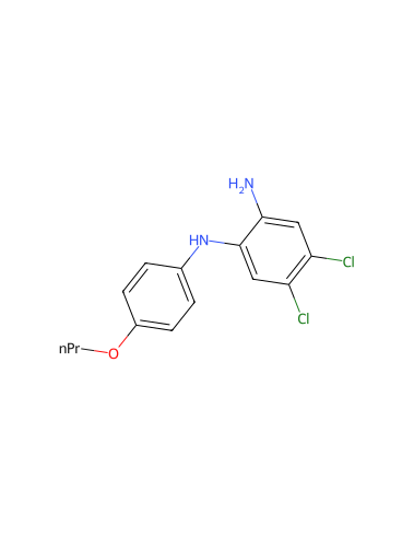 CCCOc1ccc(Nc2cc(Cl)c(Cl)cc2N)cc1